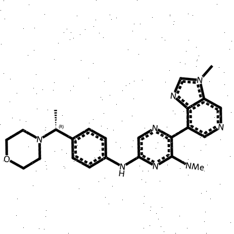 CNc1nc(Nc2ccc([C@@H](C)N3CCOCC3)cc2)cnc1-c1cncc2c1ncn2C